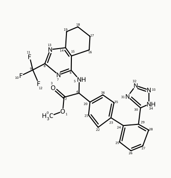 COC(=O)C(Nc1nc(C(F)(F)F)nc2c1CCCC2)c1ccc(-c2ccccc2-c2nnn[nH]2)cc1